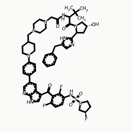 CC(C)(C)C(NC(=O)CN1CCN(CC2CCN(c3ccc(-c4cnc5[nH]cc(C(=O)c6c(F)ccc(NS(=O)(=O)N7CC[C@@H](F)C7)c6F)c5c4)cc3)CC2)CC1)C(=O)N1C[C@H](O)CC1c1ncc(Cc2ccccc2)[nH]1